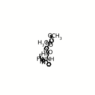 CC(=O)N1CCC2=C(C1)N(C)C(c1ccnc(C(=O)NCCN[C@@H](c3ccccc3)c3nnn(C(F)F)n3)c1)O2